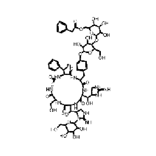 CCC(c1ccccc1)C1NC(=O)CNC(=O)C(CO)NC(=O)C(C(O)C2CNC(=N)N2C2OC(CO)C(O)C(O)C2O)NC(=O)C(C(O)C2CNC(=N)N2)NC(=O)C(Cc2ccc(OC3OC(CO)C(OC4OC(COC(=O)Cc5ccccc5)C(O)C(O)C4O)C(O)C3O)cc2)NC1=O